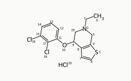 CCN1Cc2sccc2C(Oc2cccc(Cl)c2Cl)C1.Cl